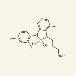 CNCCCN1c2c(F)cccc2N(c2ccc(F)cc2F)S1(O)O